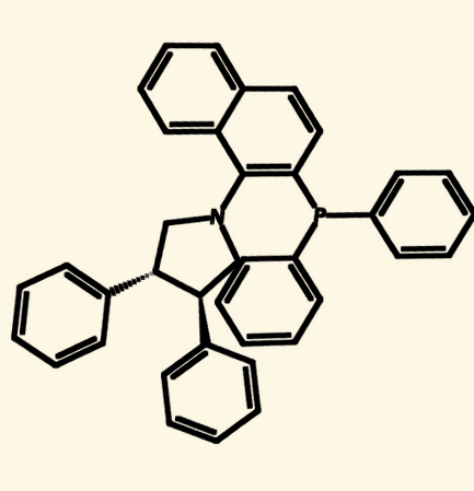 c1ccc([C@@H]2CN(c3c(P(c4ccccc4)c4ccccc4)ccc4ccccc34)C[C@H]2c2ccccc2)cc1